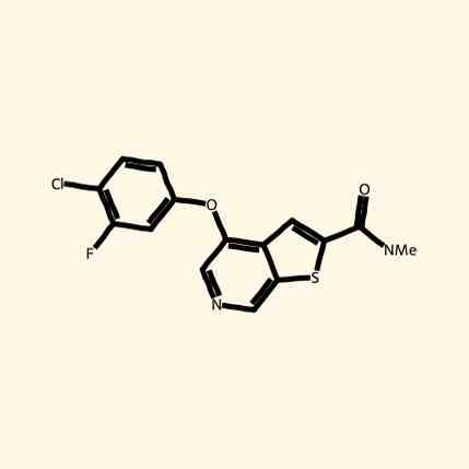 CNC(=O)c1cc2c(Oc3ccc(Cl)c(F)c3)cncc2s1